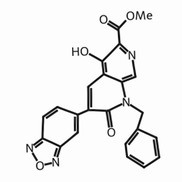 COC(=O)c1ncc2c(cc(-c3ccc4nonc4c3)c(=O)n2Cc2ccccc2)c1O